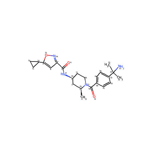 C[C@H]1C[C@@H](NC(=O)c2cc(C3CC3)on2)CCN1C(=O)c1ccc(C(C)(C)N)cc1